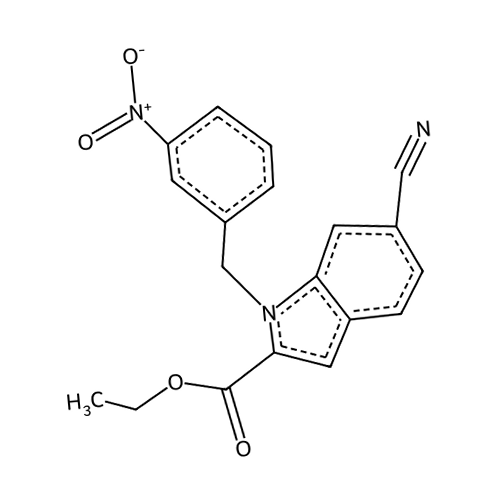 CCOC(=O)c1cc2ccc(C#N)cc2n1Cc1cccc([N+](=O)[O-])c1